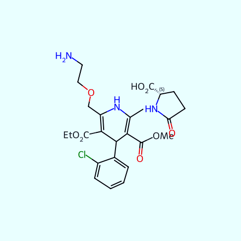 CCOC(=O)C1=C(COCCN)NC(C)=C(C(=O)OC)C1c1ccccc1Cl.O=C1CC[C@@H](C(=O)O)N1